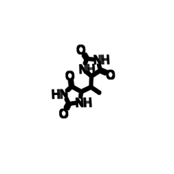 CC(C1NC(=O)NC1=O)C1NC(=O)NC1=O